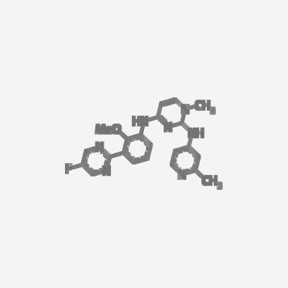 COc1c(NC2=NC(Nc3ccnc(C)c3)N(C)C=C2)cccc1-c1ncc(F)cn1